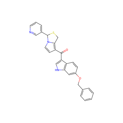 O=C(c1ccn2c1CSC2c1cccnc1)c1c[nH]c2cc(OCc3ccccc3)ccc12